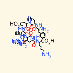 CCC(C)C(NC(=O)C(CC(=O)O)NC(=O)C(CC(C)C)NC(=O)C(N)Cc1ccccc1)C(=O)NC(CC(=O)O)C(=O)NC(CCCNC(=N)N)C(=O)NC(CCCCN)C(=O)O